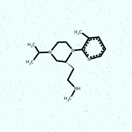 CNCC[C@@H]1CN(C(C)C)CCN1c1ncccc1C